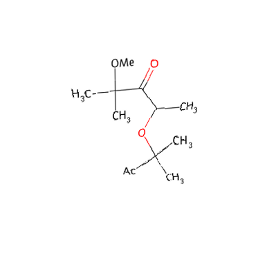 COC(C)(C)C(=O)C(C)OC(C)(C)C(C)=O